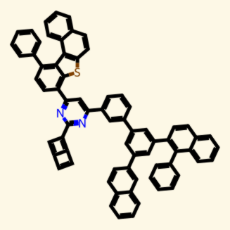 c1ccc(-c2c(-c3cc(-c4cccc(-c5cc(-c6ccc(-c7ccccc7)c7c6sc6ccc8ccccc8c67)nc(-c6cc7ccc6-7)n5)c4)cc(-c4ccc5ccccc5c4)c3)ccc3ccccc23)cc1